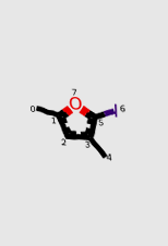 Cc1cc(C)c(I)o1